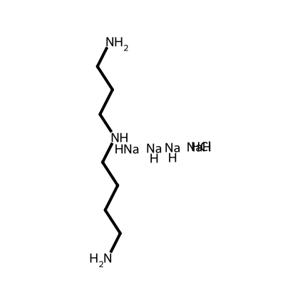 Cl.NCCCCNCCCN.[NaH].[NaH].[NaH].[NaH]